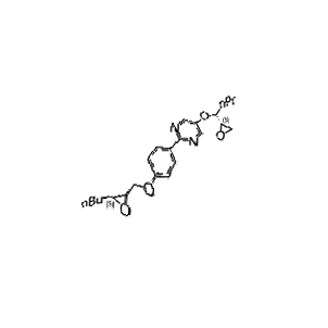 CCCC[C@@H]1OC1COc1ccc(-c2ncc(OC(CCC)[C@@H]3CO3)cn2)cc1